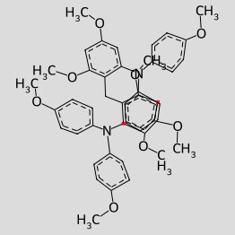 COc1ccc(N(c2ccc(OC)cc2)c2cc(OC)cc(OC)c2Cc2c(OC)cc(OC)cc2N(c2ccc(OC)cc2)c2ccc(OC)cc2)cc1